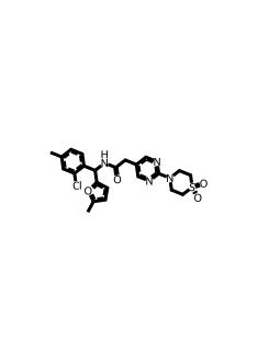 Cc1ccc(C(NC(=O)Cc2cnc(N3CCS(=O)(=O)CC3)nc2)c2ccc(C)o2)c(Cl)c1